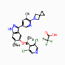 COc1cc2[nH]nc(-c3cnc(N4CC5(CC5)C4)c(C#N)c3)c2cc1O[C@H](C)c1c(Cl)cncc1Cl.O=C(O)C(F)(F)F